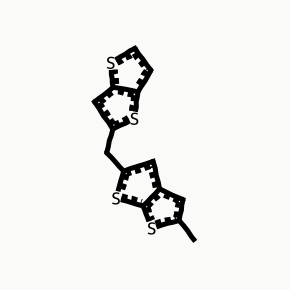 Cc1cc2cc(Cc3cc4sccc4s3)sc2s1